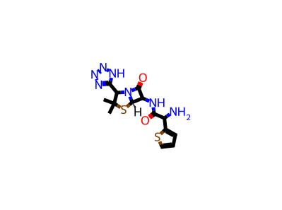 CC1(C)S[C@@H]2C(NC(=O)C(N)c3cccs3)C(=O)N2C1c1nnn[nH]1